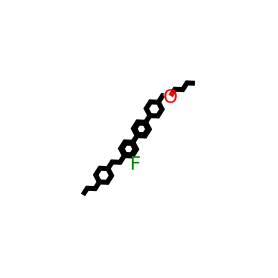 CCCCOCC1CCC(c2ccc(-c3ccc(CCC4CCC(CCC)CC4)c(F)c3)cc2)CC1